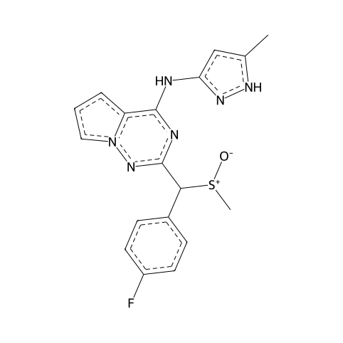 Cc1cc(Nc2nc(C(c3ccc(F)cc3)[S+](C)[O-])nn3cccc23)n[nH]1